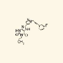 CCCn1c(=O)[nH]c2nc(-c3cnn(CC#Cc4cccc(F)c4)c3)[nH]c2c1=O